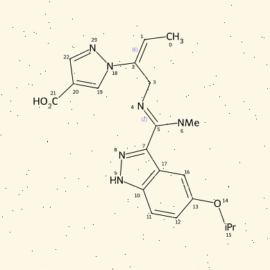 C/C=C(\C/N=C(\NC)c1n[nH]c2ccc(OC(C)C)cc12)n1cc(C(=O)O)cn1